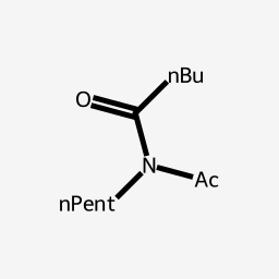 CCCCCN(C(C)=O)C(=O)CCCC